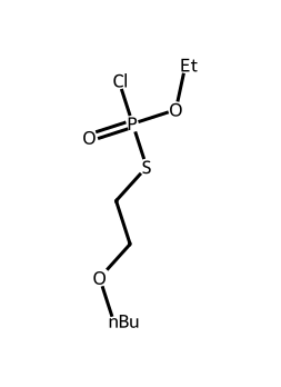 CCCCOCCSP(=O)(Cl)OCC